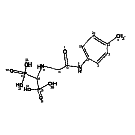 [CH2]c1ccc(NC(=O)CNC(P(=O)(O)O)P(=O)(O)O)cc1